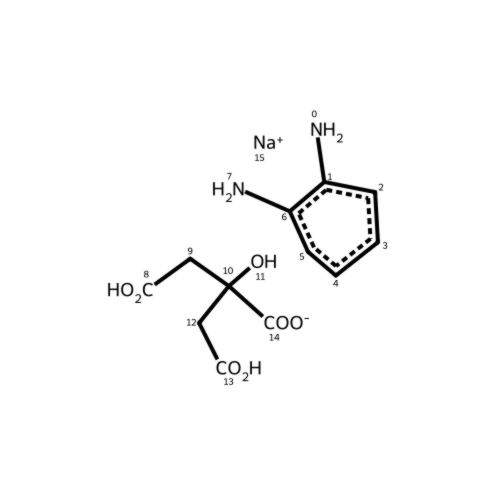 Nc1ccccc1N.O=C(O)CC(O)(CC(=O)O)C(=O)[O-].[Na+]